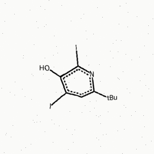 CC(C)(C)c1cc(I)c(O)c(I)n1